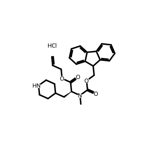 C=CCOC(=O)[C@H](CC1CCNCC1)N(C)C(=O)OCC1c2ccccc2-c2ccccc21.Cl